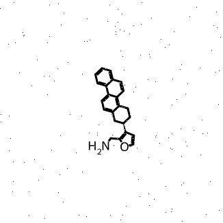 NCc1occc1[C@@H]1CCc2c(ccc3c2ccc2ccccc23)C1